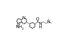 CN(C)CCNC(=O)c1cccc(-c2cnc3ccn(N)c3c2)c1